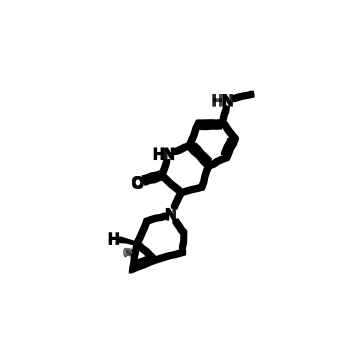 CNc1ccc2c(c1)NC(=O)C(N1CCC3=C[C@@H]3C1)C2